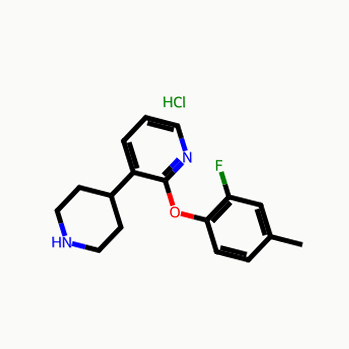 Cc1ccc(Oc2ncccc2C2CCNCC2)c(F)c1.Cl